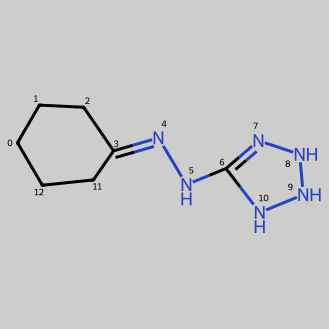 C1CCC(=NNC2=NNNN2)CC1